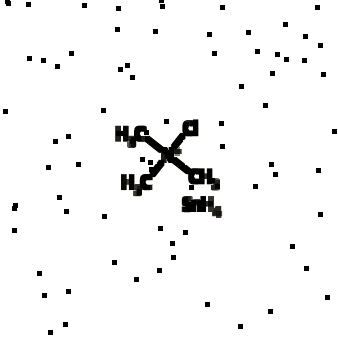 C[N+](C)(C)Cl.[SnH4]